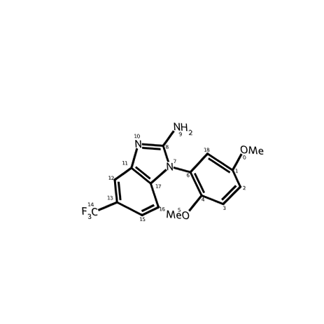 COc1ccc(OC)c(-n2c(N)nc3cc(C(F)(F)F)ccc32)c1